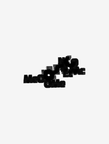 CCN(C(C)=O)C(=O)c1c(C)nc(/C=C/c2ccc(OC)c(OC)c2)n1C